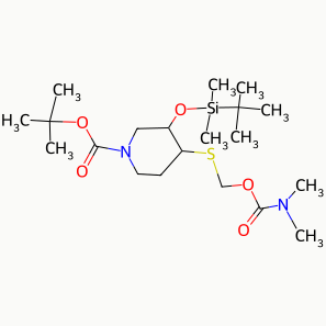 CN(C)C(=O)OCSC1CCN(C(=O)OC(C)(C)C)CC1O[Si](C)(C)C(C)(C)C